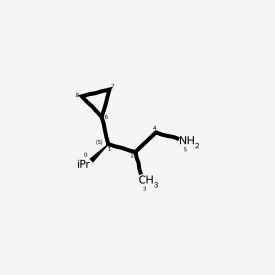 CC(C)[C@H](C(C)CN)C1CC1